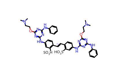 CN(C)CCOc1nc(Nc2ccccc2)nc(Nc2ccc(/C=C/c3ccc(Nc4nc(Nc5ccccc5)nc(OCCN(C)C)n4)cc3S(=O)(=O)O)c(S(=O)(=O)O)c2)n1